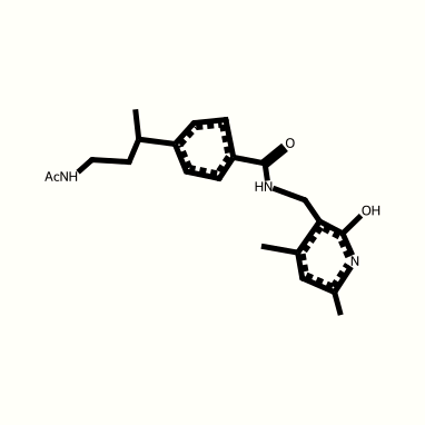 CC(=O)NCCC(C)c1ccc(C(=O)NCc2c(C)cc(C)nc2O)cc1